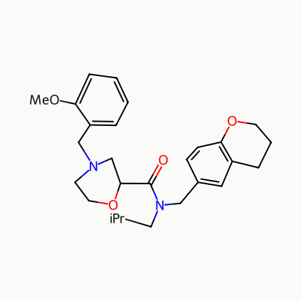 COc1ccccc1CN1CCOC(C(=O)N(Cc2ccc3c(c2)CCCO3)CC(C)C)C1